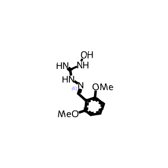 COc1cccc(OC)c1/C=N/NC(=N)NO